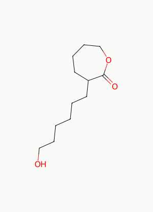 O=C1OCCCCC1CCCCCCO